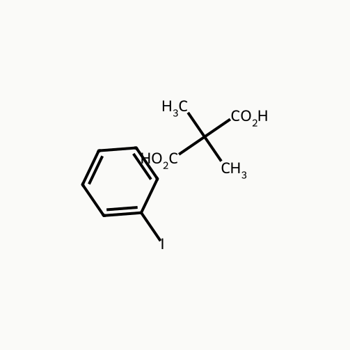 CC(C)(C(=O)O)C(=O)O.Ic1ccccc1